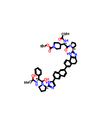 COC(=O)N[C@H](C(=O)N1CCC[C@H]1c1nc2c([nH]1)-c1ccc(-c3ccc4cc(-c5cnc([C@@H]6CCCN6C(O)[C@H](NC(O)OC)c6ccccc6)[nH]5)ccc4c3)cc1CC2)C1CCN(C(=O)OC(C)(C)C)CC1